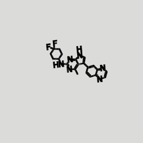 Cc1nc(NC2CCC(F)(F)CC2)nc2[nH]cc(-c3ccc4nccnc4c3)c12